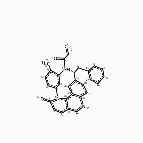 C=CC(=O)Nc1cc(-n2c(=O)ccc3cnc4ccc(CCc5ccccc5)cc4c32)ccc1C